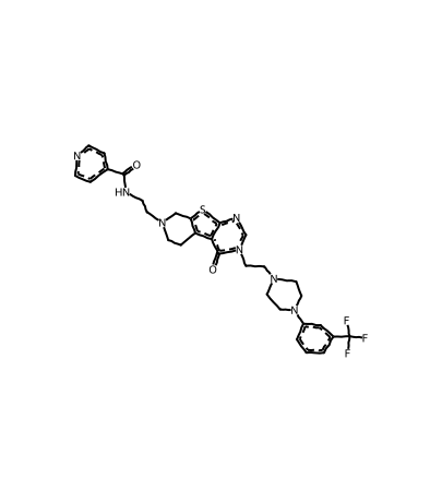 O=C(NCCN1CCc2c(sc3ncn(CCN4CCN(c5cccc(C(F)(F)F)c5)CC4)c(=O)c23)C1)c1ccncc1